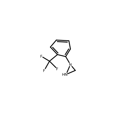 FC(F)(F)c1ccccc1N1CN1